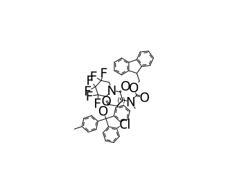 Cc1ccc(C(OC(=O)C[C@@H](C(=O)N2CC(F)(F)C(F)(F)C(F)(F)C2)N(C)C(=O)OCC2c3ccccc3-c3ccccc32)(c2ccccc2)c2ccccc2Cl)cc1